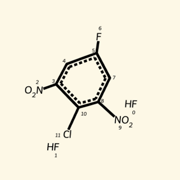 F.F.O=[N+]([O-])c1cc(F)cc([N+](=O)[O-])c1Cl